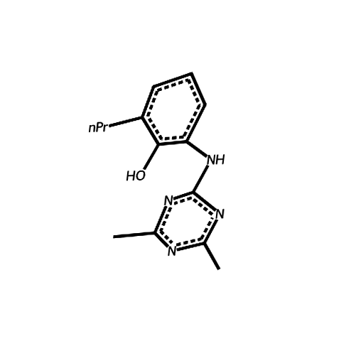 CCCc1cccc(Nc2nc(C)nc(C)n2)c1O